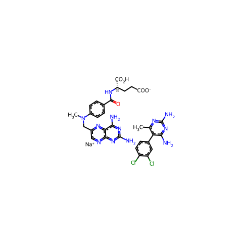 CN(Cc1cnc2nc(N)nc(N)c2n1)c1ccc(C(=O)N[C@@H](CCC(=O)[O-])C(=O)O)cc1.Cc1nc(N)nc(N)c1-c1ccc(Cl)c(Cl)c1.[Na+]